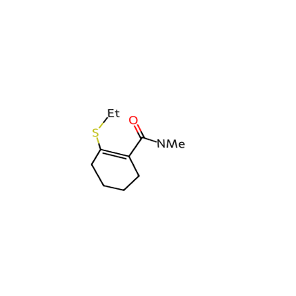 CCSC1=C(C(=O)NC)CCCC1